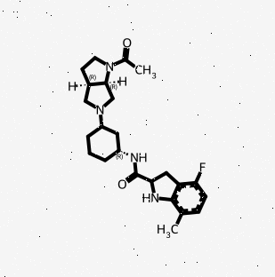 CC(=O)N1CC[C@@H]2CN(C3CCC[C@@H](NC(=O)C4Cc5c(F)ccc(C)c5N4)C3)C[C@@H]21